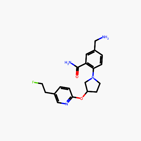 NCc1ccc(N2CCC(Oc3ccc(CCF)cn3)C2)c(C(N)=O)c1